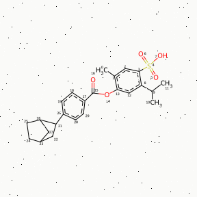 Cc1cc(S(=O)(=O)O)c(C(C)C)cc1OC(=O)c1ccc(C2CC3CCC2C3)cc1